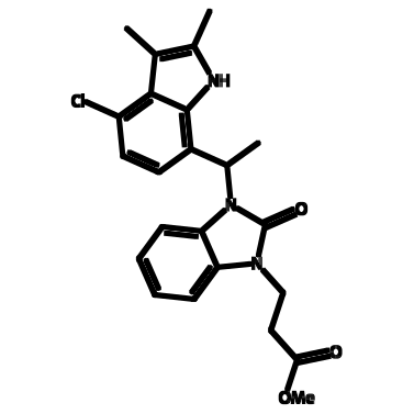 COC(=O)CCn1c(=O)n(C(C)c2ccc(Cl)c3c(C)c(C)[nH]c23)c2ccccc21